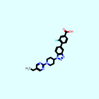 CCc1cnc(N2CCC(n3nnc4cc(-c5ccc(C(=O)O)cc5F)ccc43)CC2)nc1